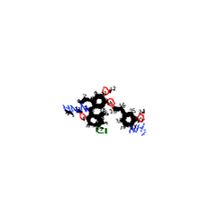 CCNC(=O)N1CCc2cc(OC)c(OCCc3ccc(N)c(OC)c3)cc2C1c1ccc(Cl)cc1C